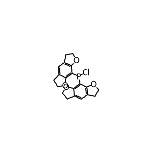 ClP(c1c2c(cc3c1OCC3)CCO2)c1c2c(cc3c1OCC3)CCO2